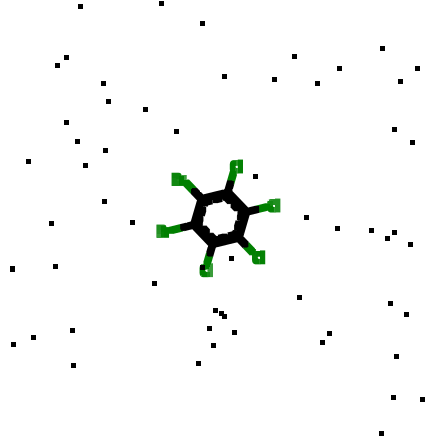 Clc1c(Cl)c(Cl)c(Br)c(Br)c1Cl